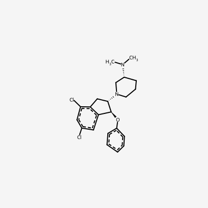 CN(C)[C@@H]1CCCN([C@H]2Cc3c(Cl)cc(Cl)cc3[C@@H]2Oc2ccccc2)C1